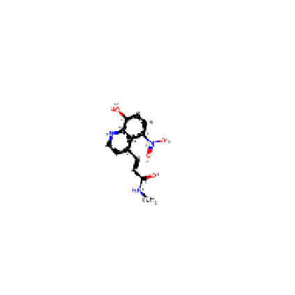 CNC(=O)C=Cc1ccnc2c(O)ccc([N+](=O)[O-])c12